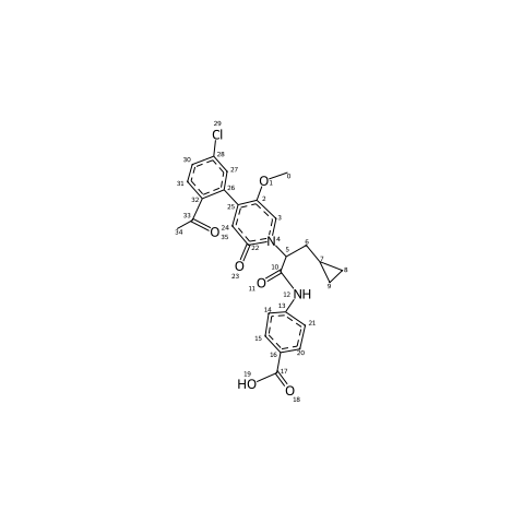 COc1cn(C(CC2CC2)C(=O)Nc2ccc(C(=O)O)cc2)c(=O)cc1-c1cc(Cl)ccc1C(C)=O